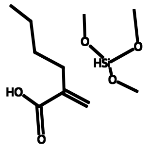 C=C(CCCC)C(=O)O.CO[SiH](OC)OC